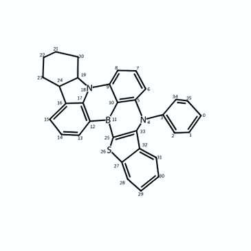 c1ccc(N2c3cccc4c3B(c3cccc5c3N4C3CCCCC53)c3sc4ccccc4c32)cc1